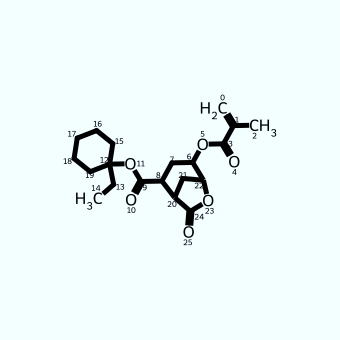 C=C(C)C(=O)OC1CC(C(=O)OC2(CC)CCCCC2)C2CC1OC2=O